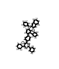 C1=CC2Oc3c(-c4ccc(-c5ccc(N(c6ccccc6)c6ccc7ccccc7c6)c6oc7ccccc7c56)cc4)nc(-c4ccccc4)nc3C2C=C1